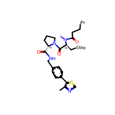 CSC[C@@H](C(=O)N1CCC[C@H]1C(=O)NCc1ccc(-c2scnc2C)cc1)N(I)C(=O)CCC(C)C